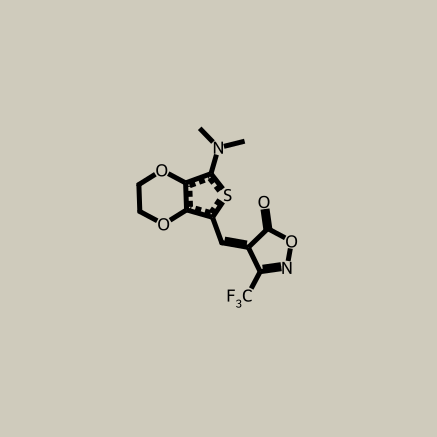 CN(C)c1sc(C=C2C(=O)ON=C2C(F)(F)F)c2c1OCCO2